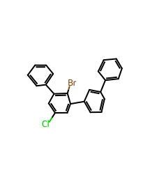 Clc1cc(-c2ccccc2)c(Br)c(-c2cccc(-c3ccccc3)c2)c1